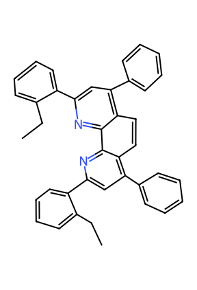 CCc1ccccc1-c1cc(-c2ccccc2)c2ccc3c(-c4ccccc4)cc(-c4ccccc4CC)nc3c2n1